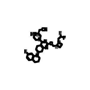 N#CC[C@H]1CN(c2nc(OC[C@@H]3CCN3CC(F)F)nc3c2CC[C@@H](N2CCCc4ccc(F)cc42)C3)CCN1